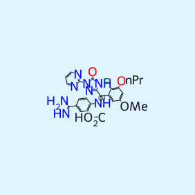 CC(=O)O.CCCOc1cc(OC)cc([C@H](Nc2ccc(C(=N)N)cc2)c2nn(-c3ncccn3)c(=O)[nH]2)c1F